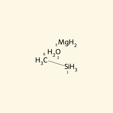 C[SiH3].O.[MgH2]